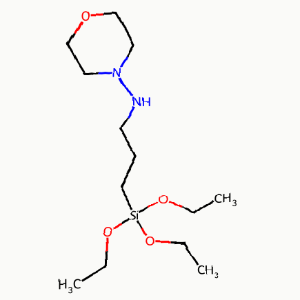 CCO[Si](CCCNN1CCOCC1)(OCC)OCC